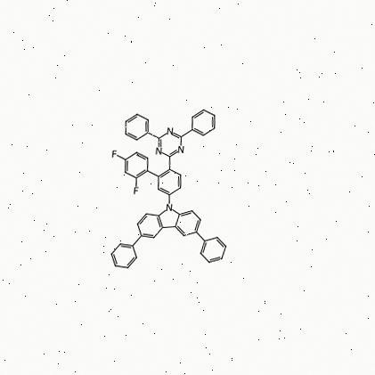 Fc1ccc(-c2cc(-n3c4ccc(-c5ccccc5)cc4c4cc(-c5ccccc5)ccc43)ccc2-c2nc(-c3ccccc3)nc(-c3ccccc3)n2)c(F)c1